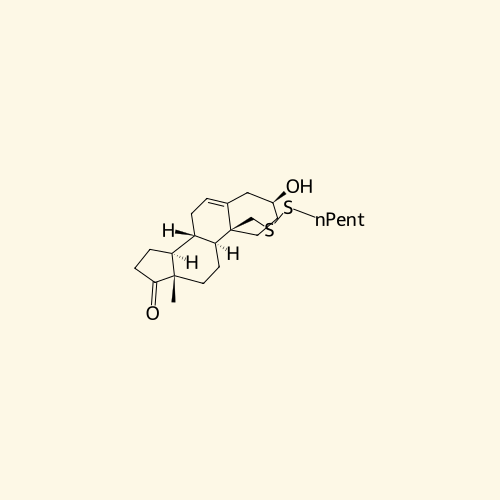 CCCCCSSC[C@]12CC[C@H](O)CC1=CC[C@@H]1[C@@H]2CC[C@]2(C)C(=O)CC[C@@H]12